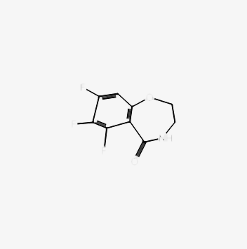 O=C1NCCOc2cc(F)c(F)c(F)c21